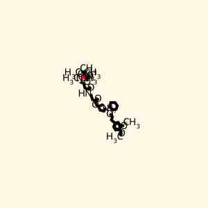 COc1ccc(CCO[C@@H]2CCCC[C@H]2N2CCC(OC(=O)CCNC(=O)CC(C[N+](C)(C)C)OC(=O)CC(C)(C)C)C2)cc1OC